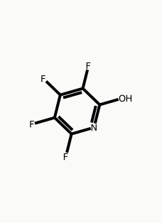 Oc1nc(F)c(F)c(F)c1F